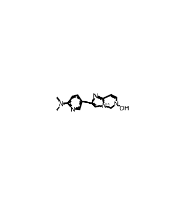 CN(C)c1ccc(C2=C[N+]3CN(O)C=CC3=N2)cn1